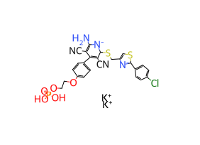 N#CC1=C(N)[N-]C(SCC2=CSC(c3ccc(Cl)cc3)[N-]2)C(C#N)=C1c1ccc(OCCOP(=O)(O)O)cc1.[K+].[K+]